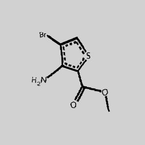 COC(=O)c1scc(Br)c1N